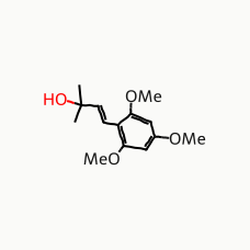 COc1cc(OC)c(C=CC(C)(C)O)c(OC)c1